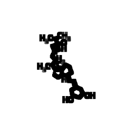 CC(C)C1(O)CN(CC[C@@H](C)[C@H]2CC[C@H]3/C(=C/C=C4C[C@@H](O)C[C@H](O)C4)CCC[C@]23C)C1